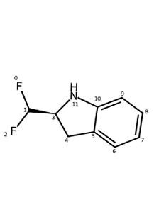 FC(F)[C@@H]1Cc2ccccc2N1